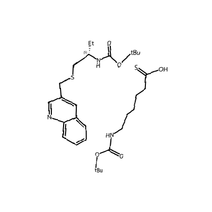 CC(C)(C)OC(=O)NCCCCCC(O)=S.CC[C@@H](CSCc1cnc2ccccc2c1)NC(=O)OC(C)(C)C